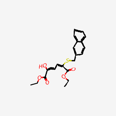 CCOC(=O)C(O)=CC=C(SCc1ccc2ccccc2c1)C(=O)OCC